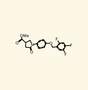 COC(=O)C1CC(=O)N(c2ccc(OCc3cc(F)c(F)cc3F)cc2)C1